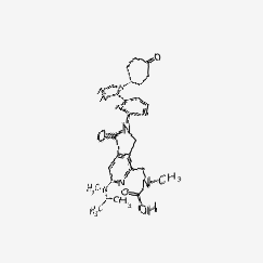 CC(C)N(C)c1cc2c(c(CN(C)C(=O)O)n1)CN(c1cccc(-c3nncn3C3CCC(=O)CC3)n1)C2=O